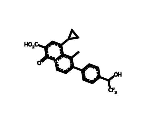 Cc1c(-c2ccc(C(O)C(F)(F)F)cc2)ccn2c(=O)c(C(=O)O)cc(C3CC3)c12